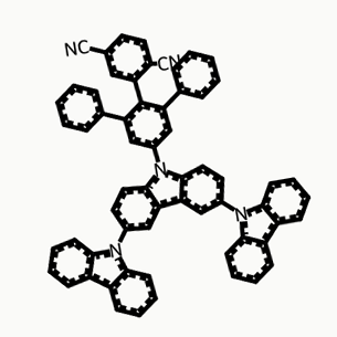 N#Cc1ccc(C#N)c(-c2c(-c3ccccc3)cc(-n3c4ccc(-n5c6ccccc6c6ccccc65)cc4c4cc(-n5c6ccccc6c6ccccc65)ccc43)cc2-c2ccccc2)c1